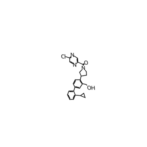 O=C(c1cnc(Cl)cn1)N1CCC(c2ccc(-c3ccccc3C3CC3)cc2CO)C1